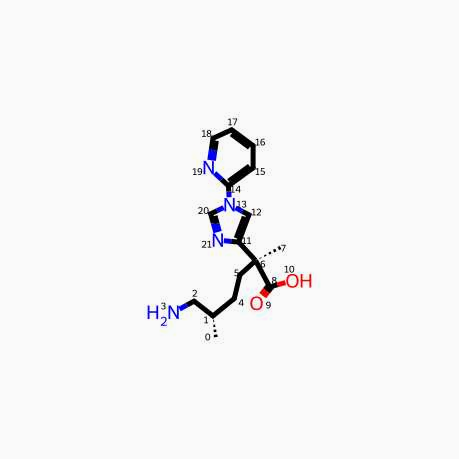 C[C@H](CN)CC[C@](C)(C(=O)O)c1cn(-c2ccccn2)cn1